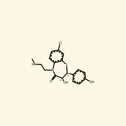 CNCCN1C(=O)[C@H](O)[C@H](c2ccc(O)cc2)Sc2cc(Cl)ccc21